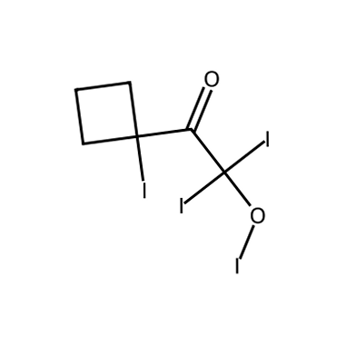 O=C(C1(I)CCC1)C(I)(I)OI